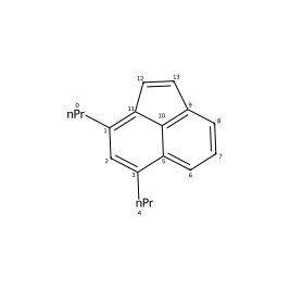 CCCc1cc(CCC)c2cccc3c2c1C=C3